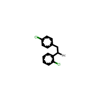 CC(=O)C(Cc1ccc(Cl)cc1)c1ccccc1Cl